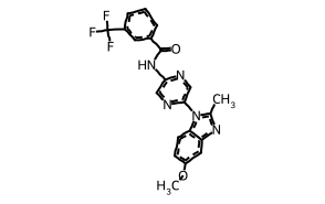 COc1ccc2c(c1)nc(C)n2-c1cnc(NC(=O)c2cccc(C(F)(F)F)c2)cn1